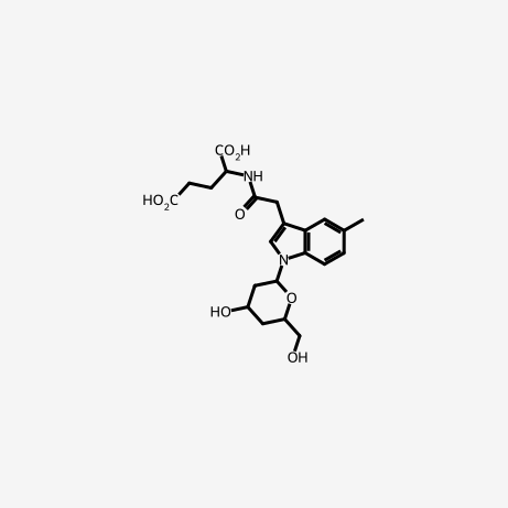 Cc1ccc2c(c1)c(CC(=O)NC(CCC(=O)O)C(=O)O)cn2C1CC(O)CC(CO)O1